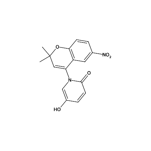 CC1(C)C=C(n2cc(O)ccc2=O)c2cc([N+](=O)[O-])ccc2O1